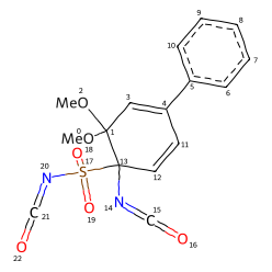 COC1(OC)C=C(c2ccccc2)C=CC1(N=C=O)S(=O)(=O)N=C=O